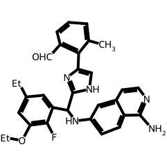 CCOc1cc(CC)cc(C(Nc2ccc3c(N)nccc3c2)c2nc(-c3c(C)cccc3C=O)c[nH]2)c1F